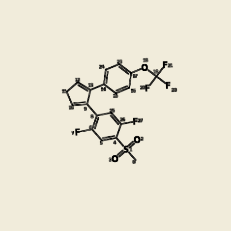 CS(=O)(=O)c1cc(F)c(C2=CCC=C2c2ccc(OC(F)(F)F)cc2)cc1F